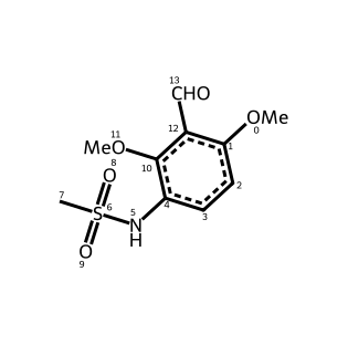 COc1ccc(NS(C)(=O)=O)c(OC)c1C=O